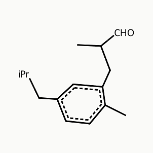 Cc1ccc(CC(C)C)cc1CC(C)C=O